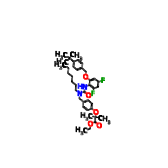 CCCCCCCN(Cc1ccc(OC(C)(C)C(=O)OCC)cc1)C(=O)Nc1c(F)cc(F)cc1OCc1ccc(C(C)(C)C)cc1